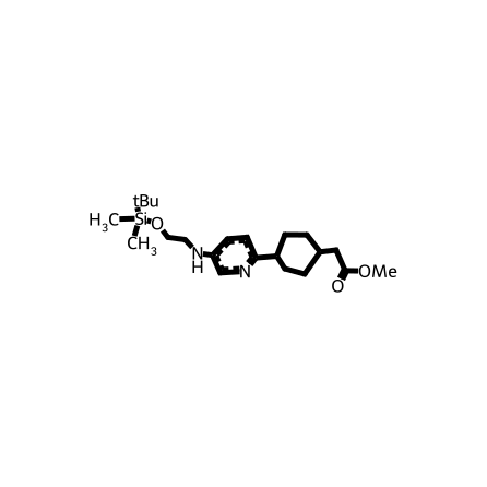 COC(=O)CC1CCC(c2ccc(NCCO[Si](C)(C)C(C)(C)C)cn2)CC1